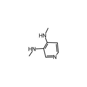 CNc1ccncc1NC